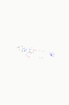 COCCOC(=O)N1CCc2c([nH]c3ccc(Cl)cc23)C1c1ccc(OCCCCCCn2ccnc2)cc1